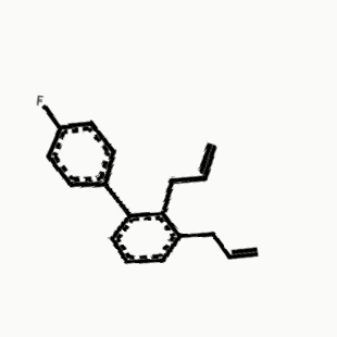 C=CCc1cc[c]c(-c2ccc(F)cc2)c1CC=C